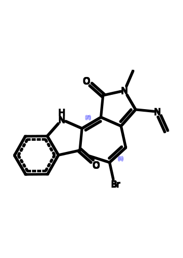 C=NC1=C(/C=C(\C)Br)/C(=C2/Nc3ccccc3C2=O)C(=O)N1C